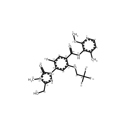 COc1nccc(C)c1NC(=O)c1cc(F)c(-n2nc(CO)n(C)c2=O)cc1OCC(F)(F)F